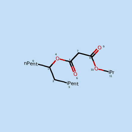 CCCCCC(CC(C)CCC)OC(=O)CC(=O)OC(C)C